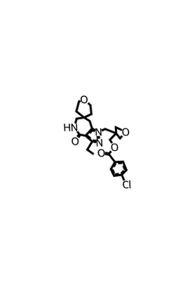 CCc1nn(CC2(COC(=O)c3ccc(Cl)cc3)COC2)c2c1C(=O)NCC1(CCOCC1)C2